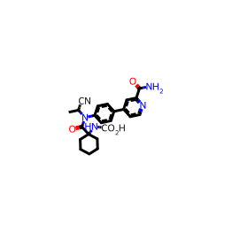 CC(C#N)N(C(=O)C1(NC(=O)O)CCCCC1)c1ccc(-c2ccnc(C(N)=O)c2)cc1